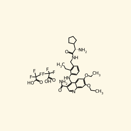 CCOc1cc2ncc(C(N)=O)c(Nc3cccc(CNC(=O)[C@@H](N)C4CCCC4)c3CC)c2cc1OCC.O=C(O)C(F)(F)F.O=C(O)C(F)(F)F